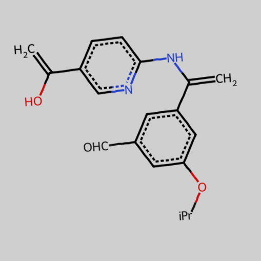 C=C(O)c1ccc(NC(=C)c2cc(C=O)cc(OC(C)C)c2)nc1